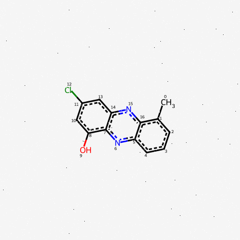 Cc1cccc2nc3c(O)cc(Cl)cc3nc12